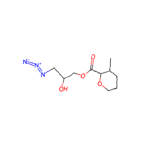 CC1CCCOC1C(=O)OCC(O)CN=[N+]=[N-]